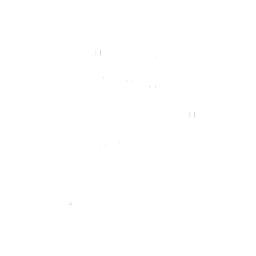 CCC(=O)Oc1cc(C(=O)OCc2cccc(Br)c2)cc(OC(=O)CC)c1OC(=O)CC